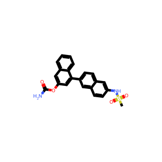 CS(=O)(=O)Nc1ccc2cc(-c3cc(OC(N)=O)cc4ccccc34)ccc2c1